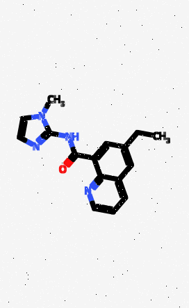 CCc1cc(C(=O)Nc2nccn2C)c2ncccc2c1